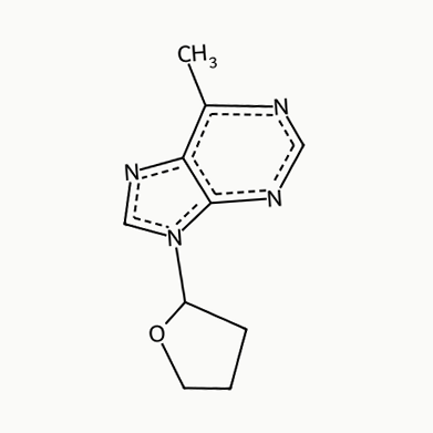 Cc1ncnc2c1ncn2C1CCCO1